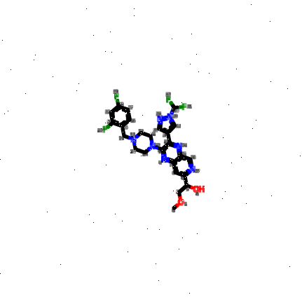 COCC(O)c1cc2nc(N3CCN(Cc4ccc(F)cc4F)CC3)c(-c3cnn(C(F)F)c3)nc2cn1